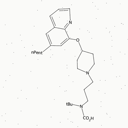 CCCCCc1cc(OC2CCN(CCCN(C(=O)O)C(C)(C)C)CC2)c2ncccc2c1